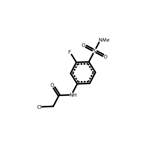 CNS(=O)(=O)c1ccc(NC(=O)CCl)cc1F